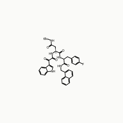 CC(C)(C)NC(=O)C[C@H](NC(=O)C(=O)c1c[nH]c2ccccc12)C(=O)NC(Cc1ccc(F)cc1)C(=O)NCc1cccc2ccccc12